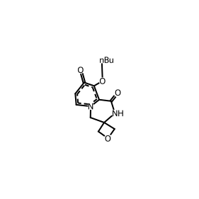 CCCCOc1c2n(ccc1=O)CC1(COC1)NC2=O